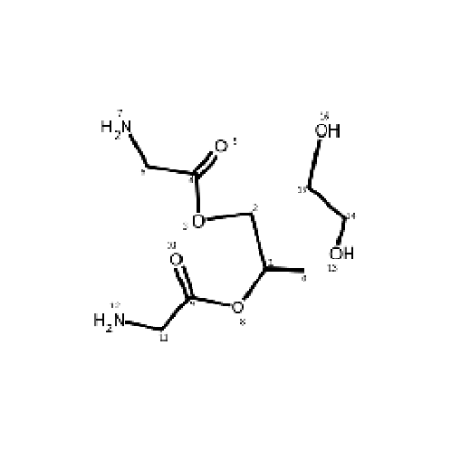 CC(COC(=O)CN)OC(=O)CN.OCCO